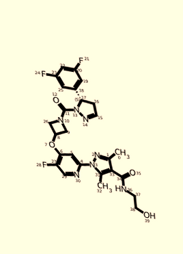 Cc1nn(-c2cc(OC3CN(C(=O)N4N=CC[C@H]4c4cc(F)cc(F)c4)C3)c(F)cn2)c(C)c1C(=O)NCCO